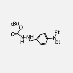 CCN(CC)c1ccc(CNNC(=O)OC(C)(C)C)cc1